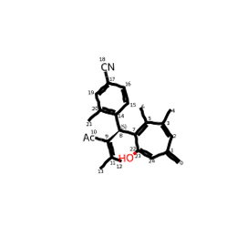 C=C1C=C(C)C(C)=C([C@@H](C(C(C)=O)=C(C)C)c2ccc(C#N)cc2C)C(O)=C1